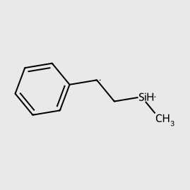 C[SiH]C[CH]c1ccccc1